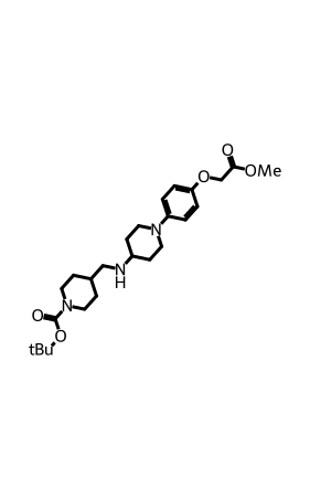 COC(=O)COc1ccc(N2CCC(NCC3CCN(C(=O)OC(C)(C)C)CC3)CC2)cc1